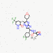 Cc1nocc1C(=O)N[C@H](c1cn2nc(C[C@H]3C[C@@H](C(F)(F)F)CNC3=O)c(C3CCOCC3)nc2n1)C1CCC(F)(F)CC1